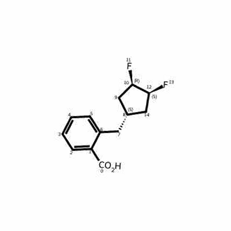 O=C(O)c1ccccc1C[C@@H]1C[C@@H](F)[C@@H](F)C1